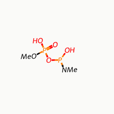 CNP(O)OP(=O)(O)OC